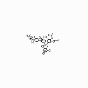 CS(=O)(=O)Nc1ccc(N(CC(=O)OC(Cc2c(Cl)c[n+]([O-])cc2Cl)c2ccc(OC(F)F)c(OCC3CC3)c2)S(C)(=O)=O)cc1